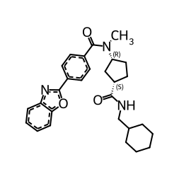 CN(C(=O)c1ccc(-c2nc3ccccc3o2)cc1)[C@@H]1CC[C@H](C(=O)NCC2CCCCC2)C1